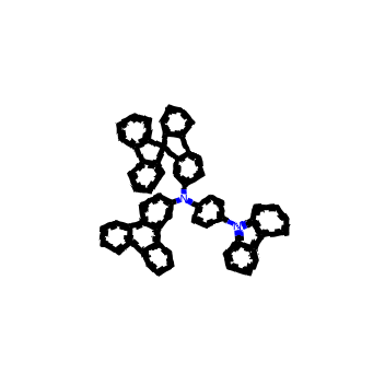 c1ccc2c(c1)-c1ccccc1C21c2ccccc2-c2ccc(N(c3ccc(-n4c5ccccc5c5ccccc54)cc3)c3ccc4c5ccccc5c5ccccc5c4c3)cc21